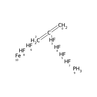 C=C=C.F.F.F.F.F.F.P.[Fe]